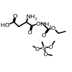 CCOC(N)=O.CO[Si](C)(OC)OC.NC(CC(=O)O)C(=O)O